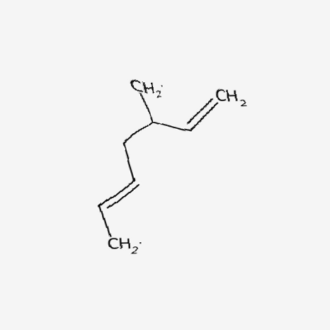 [CH2]C=CCC([CH2])C=C